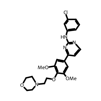 COc1cc(-c2ccnc(Nc3cccc(Cl)c3)n2)cc(OC)c1OCCN1CCOCC1